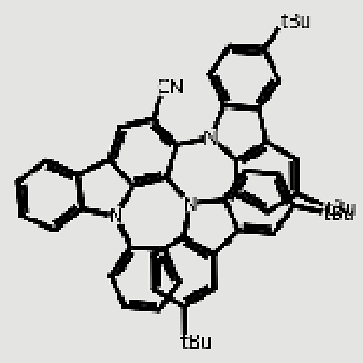 CC(C)(C)c1ccc2c(c1)c1cc(C(C)(C)C)ccc1n2-c1c(C#N)cc2c3ccccc3n(-c3ccccc3)c2c1-n1c2ccc(C(C)(C)C)cc2c2cc(C(C)(C)C)ccc21